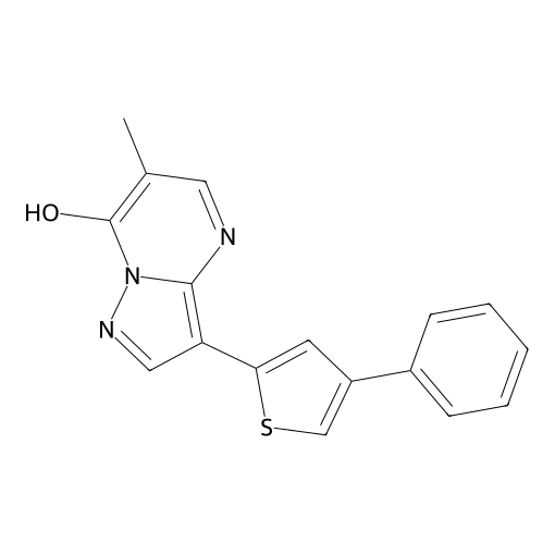 Cc1cnc2c(-c3cc(-c4ccccc4)cs3)cnn2c1O